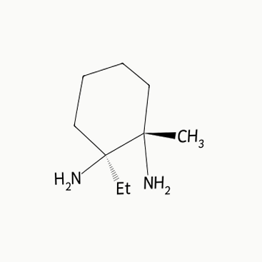 CC[C@]1(N)CCCC[C@]1(C)N